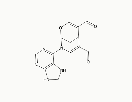 O=CC1=COC2CC1C(C=O)=CN2c1ncnc2c1NCN2